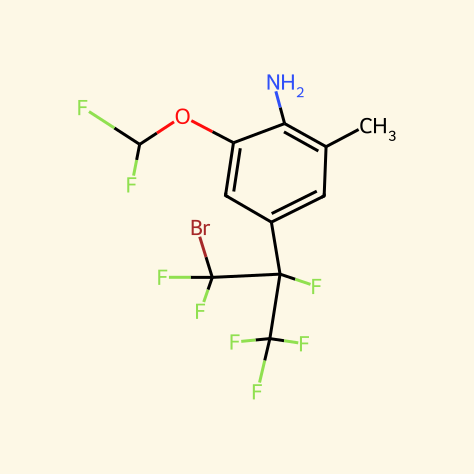 Cc1cc(C(F)(C(F)(F)F)C(F)(F)Br)cc(OC(F)F)c1N